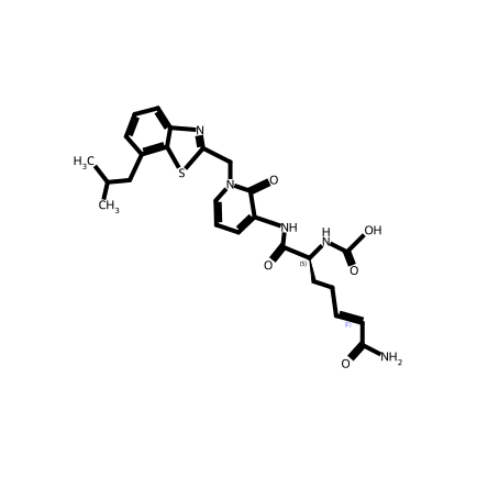 CC(C)Cc1cccc2nc(Cn3cccc(NC(=O)[C@H](CC/C=C/C(N)=O)NC(=O)O)c3=O)sc12